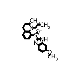 C=CCN1c2c(cccc2[S+]([O-])c2nc3ccc(OC)cc3[nH]2)CCC1C